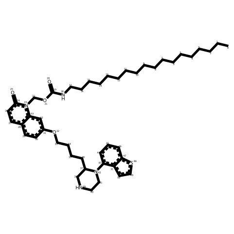 CCCCCCCCCCCCCCCCCCNC(=O)OCn1c(=O)ccc2ccc(OCCCCC3CNCCN3c3cccc4sccc34)cc21